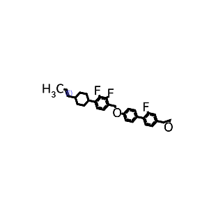 C/C=C/C1CCC(c2ccc(COc3ccc(-c4ccc(C5CO5)cc4F)cc3)c(F)c2F)CC1